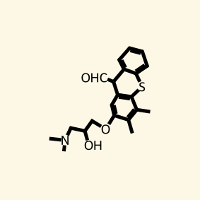 Cc1c(OCC(O)CN(C)C)cc2c(c1C)Sc1ccccc1C2C=O